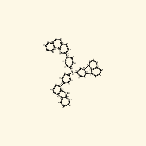 c1cc2c3c(cccc3c1)-c1cc(N(c3ccc(-c4ccc5ccc6ccccc6c5c4)cc3)c3ccc(-c4cccc5c4oc4ccccc45)cc3)ccc1-2